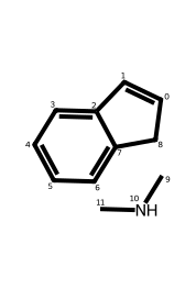 C1=Cc2ccccc2C1.CNC